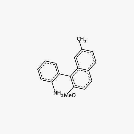 COc1ccc2ccc(C)cc2c1-c1ccccc1N